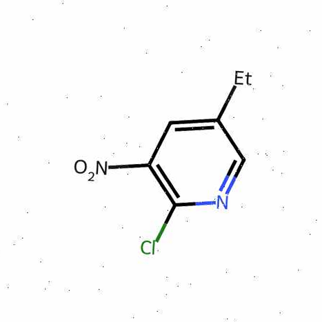 CCc1cnc(Cl)c([N+](=O)[O-])c1